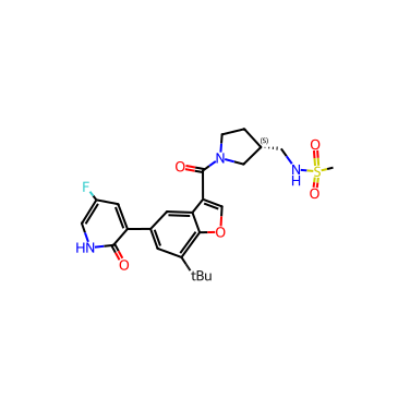 CC(C)(C)c1cc(-c2cc(F)c[nH]c2=O)cc2c(C(=O)N3CC[C@H](CNS(C)(=O)=O)C3)coc12